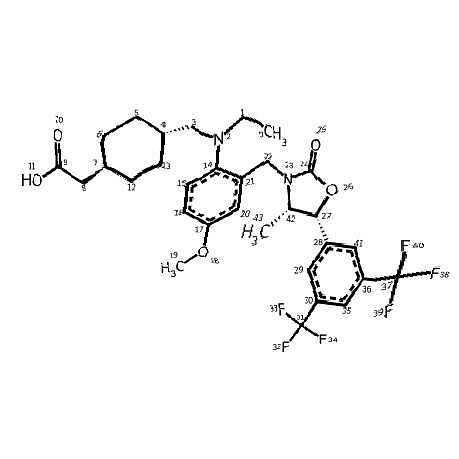 CCN(C[C@H]1CC[C@H](CC(=O)O)CC1)c1ccc(OC)cc1CN1C(=O)O[C@H](c2cc(C(F)(F)F)cc(C(F)(F)F)c2)[C@@H]1C